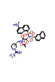 CC(=O)OC(C(=O)NC[C@@H]1CCCN(C(=N)N)C1)N(S(=O)(=O)c1ccc2ccccc2c1)S(=O)(=O)c1cccc2c(N(C)C)cccc12